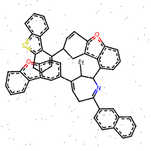 CCC1C(c2ccc3oc4ccccc4c3c2)=CCC(c2ccc3ccccc3c2)=NC1c1cccc2oc3c(c12)CC(C1=CCCc2sc4ccccc4c21)C=C3